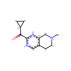 CN1CCc2cnc(C(=O)C3CC3)nc2C1